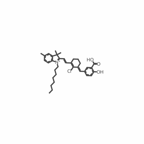 CCCCCCCC[N+]1=C(/C=C/C2=C(Cl)C(=C/c3ccc(O)c(C(=O)O)c3)/CCC2)C(C)(C)c2cc(C)ccc21